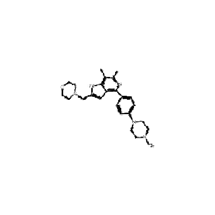 Cc1nc(-c2ccc(N3CCN(C(C)C)CC3)cc2)c2cc(CN3CCOCC3)[nH]c2c1C